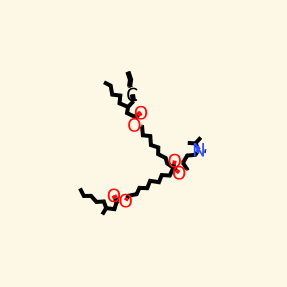 C=C=C=C=CC(CCCCC)CC(=O)OCCCCCCCCC1(CCCCCCCCOC(=O)CC(C)CCCCC)OCC(CCN(C)C(C)C)O1